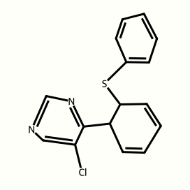 Clc1cncnc1C1C=CC=CC1Sc1ccccc1